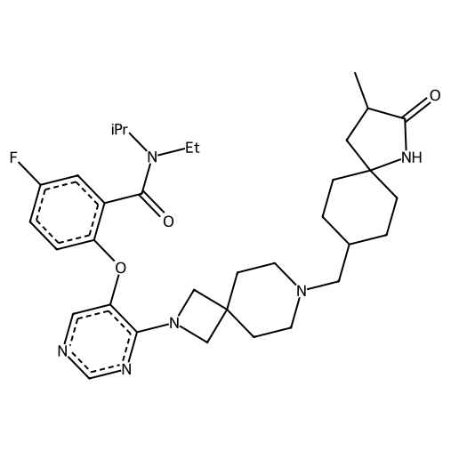 CCN(C(=O)c1cc(F)ccc1Oc1cncnc1N1CC2(CCN(CC3CCC4(CC3)CC(C)C(=O)N4)CC2)C1)C(C)C